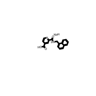 O=C(O)c1ccnc(C(=O)NCc2cccc3ccccc23)c1.[NaH]